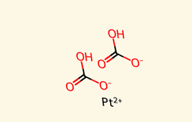 O=C([O-])O.O=C([O-])O.[Pt+2]